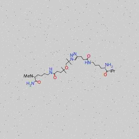 CNC(CCCCNC(=O)CCC(C)(C)OCC(C)(C)n1cc(CCC(=O)NCCCCC(N)C(=O)C(C)C)nn1)C(N)=O